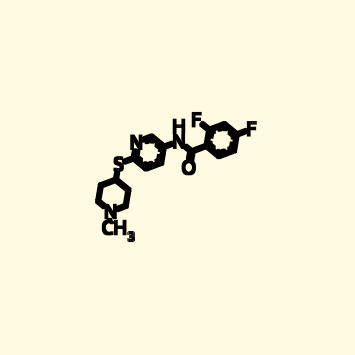 CN1CCC(Sc2ccc(NC(=O)c3ccc(F)cc3F)cn2)CC1